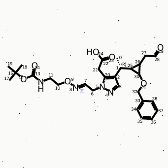 C[C@@H](c1cnn(C/C=N/OCCNC(=O)OC(C)(C)C)c1CC(=O)O)C1C(CC=O)C1OCc1ccccc1